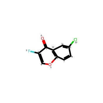 O=c1c(F)coc2ccc(Cl)cc12